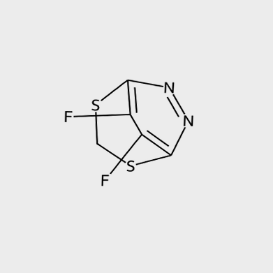 Fc1c2nnc(c1F)SCS2